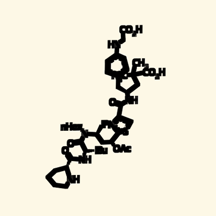 CCCCCCN(C(=O)[C@@H](NC(=O)[C@H]1CCCCN1)[C@@H](C)CC)[C@H](C[C@@H](OC(C)=O)c1nc(C(=O)N[C@@H](Cc2ccc(NCC(=O)O)cc2)CC(C)(C)C(=O)O)cs1)C(C)C